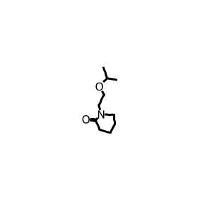 CC(C)OCCN1CCCCC1=O